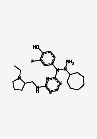 CCN1CCCC1CNc1ncnc(N(c2ccc(O)c(F)c2)N(N)C2CCCCCC2)n1